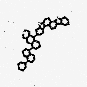 c1ccc(-c2cccc3c(-c4cccc5c(-c6ccc7c(c6)oc6ccc8c(ccc9c%10ccccc%10sc98)c67)c6ccccc6cc45)cccc23)cc1